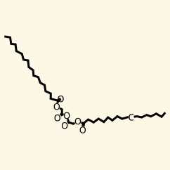 CCCCCCCCCCCCCCCCCC(=O)OCC(=O)OC(=O)COC(=O)CCCCCCCCCCCCCCCCC